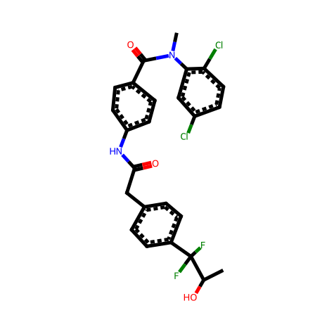 CC(O)C(F)(F)c1ccc(CC(=O)Nc2ccc(C(=O)N(C)c3cc(Cl)ccc3Cl)cc2)cc1